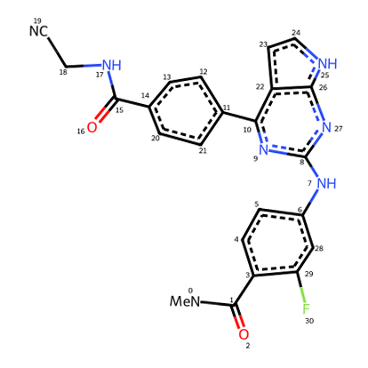 CNC(=O)c1ccc(Nc2nc(-c3ccc(C(=O)NCC#N)cc3)c3cc[nH]c3n2)cc1F